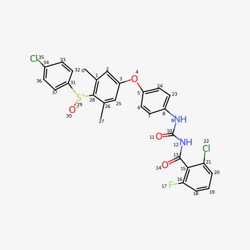 Cc1cc(Oc2ccc(NC(=O)NC(=O)c3c(F)cccc3Cl)cc2)cc(C)c1[S+]([O-])c1ccc(Cl)cc1